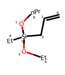 C=CC[Si](CC)(OCC)OCCC